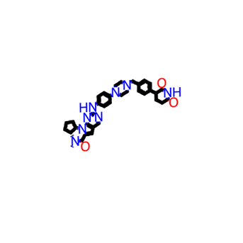 CN(C)C(=O)c1cc2cnc(Nc3ccc(N4CCN(Cc5ccc(C6CCC(=O)NC6=O)cc5)CC4)cc3)nc2n1C1CCCC1